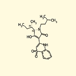 CC[C@H](C)[C@H]1C(O)=C(C2=CS(=O)(=O)c3ccccc3N2)C(=O)N1CCC(C)C